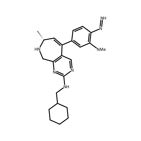 CNc1cc(C2=C[C@@H](C)NCc3nc(NCC4CCCCC4)ncc32)ccc1N=N